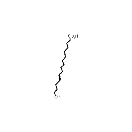 O=C(O)CCCCCCCCCC=CCCCO